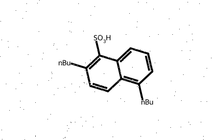 CCCCc1ccc2c(CCCC)cccc2c1S(=O)(=O)O